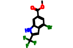 COC(=O)c1cc(Br)c2cc(C(F)(F)F)[nH]c2c1